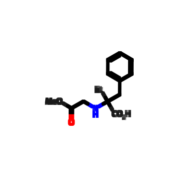 CCC(Cc1ccccc1)(NCC(=O)OC)C(=O)O